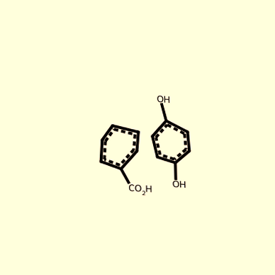 O=C(O)c1ccccc1.Oc1ccc(O)cc1